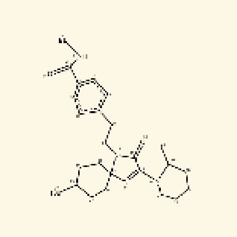 CCNC(=O)c1ccc(CCN2C(=O)C(N3CCCCC3C)=NC23CCC(C(C)(C)C)CC3)cc1